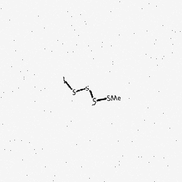 CSSSSI